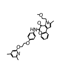 COCCn1c(C)cc(-c2ccccc2)c1C(=O)C(=O)Nc1ccc(OCCOc2cc(C)cc(C)n2)cc1